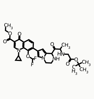 CCOC(=O)c1cn(C2CC2)c2c(OC(F)F)c(-c3cc4n(c3)CCNC4C(=O)C(C)NCC(=O)OC(C)(C)C)ccc2c1=O